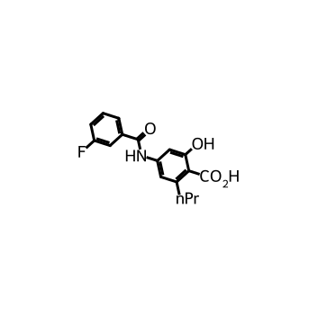 CCCc1cc(NC(=O)c2cccc(F)c2)cc(O)c1C(=O)O